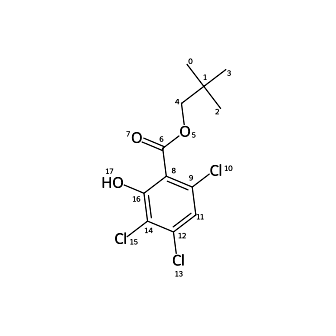 CC(C)(C)COC(=O)c1c(Cl)cc(Cl)c(Cl)c1O